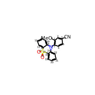 COc1cc(C#N)ccc1N1c2ccccc2S(=O)(=O)c2ccccc21